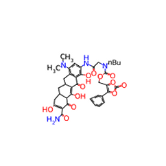 CCCCN(CC(=O)Nc1cc(N(C)C)c2c(c1O)C(=O)C1=C(O)C3C(=O)C(C(N)=O)=C(O)CC3CC1C2)C(=O)OCc1oc(=O)oc1-c1ccccc1